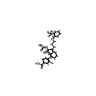 Cc1cc(C(=O)O)ccc1-c1cccc2c(CCCOc3ccccc3C(C)(C)C)c(OC(=O)O)[nH]c12